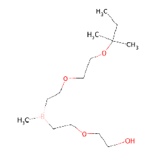 CCC(C)(C)OCCOCCB(C)CCOCCO